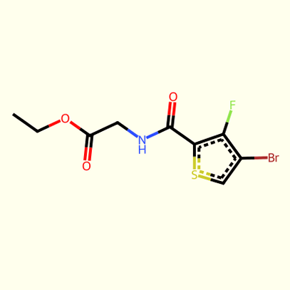 CCOC(=O)CNC(=O)c1scc(Br)c1F